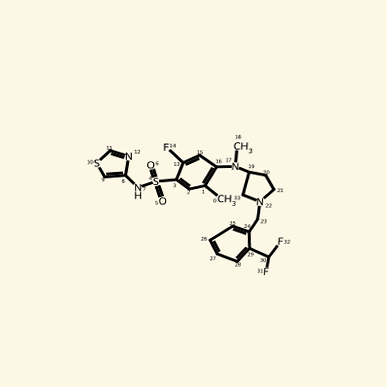 Cc1cc(S(=O)(=O)Nc2cscn2)c(F)cc1N(C)C1CCN(Cc2ccccc2C(F)F)C1